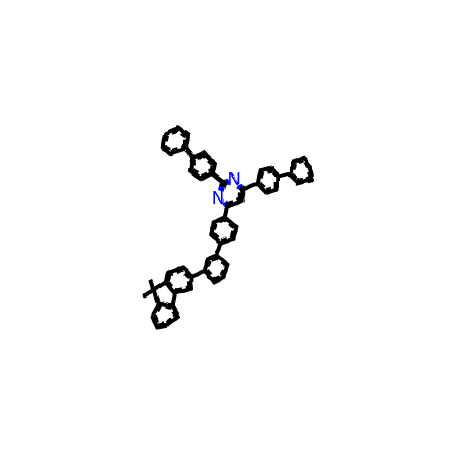 CC1(C)c2ccccc2-c2cc(-c3cccc(-c4ccc(-c5cc(-c6ccc(-c7ccccc7)cc6)nc(-c6ccc(-c7ccccc7)cc6)n5)cc4)c3)ccc21